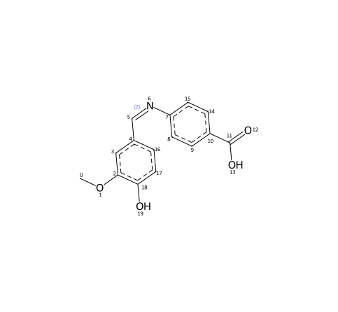 COc1cc(/C=N\c2ccc(C(=O)O)cc2)ccc1O